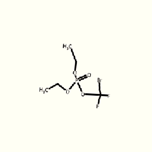 CCOP(=O)(OCC)OC(F)(F)Br